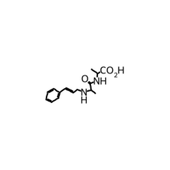 CC(NC(=O)C(C)NCC=Cc1ccccc1)C(=O)O